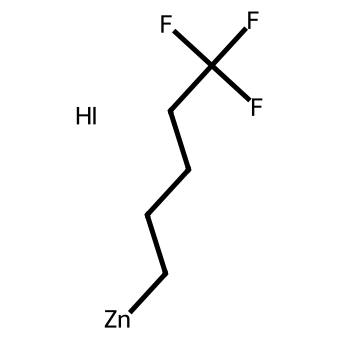 FC(F)(F)CCC[CH2][Zn].I